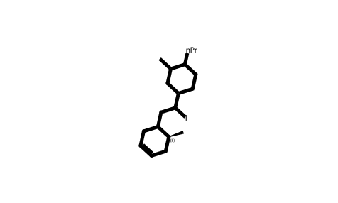 CCCC1CCC(C(I)CC2CC=CC[C@@H]2C)CC1C